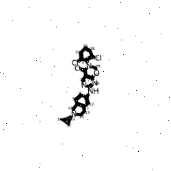 O=C1c2cnc(Nc3ccc4c(c3)CCN(C3CC3)C4)nc2OCN1c1c(Cl)cccc1Cl